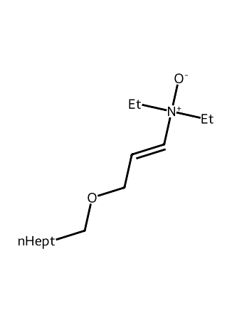 CCCCCCCCOC/C=C/[N+]([O-])(CC)CC